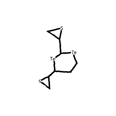 C1CC(C2CS2)[Te]C(C2CS2)[Te]1